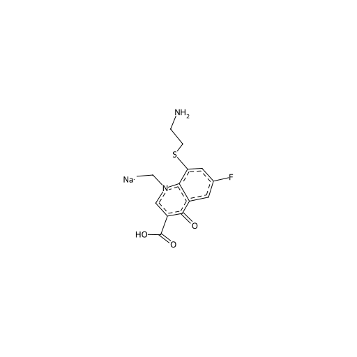 CCn1cc(C(=O)O)c(=O)c2cc(F)cc(SCCN)c21.[Na]